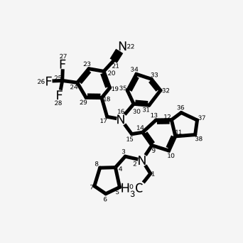 CCN(CC1CCCC1)c1cc2c(cc1CN(Cc1cc(C#N)cc(C(F)(F)F)c1)c1ccccc1)CCC2